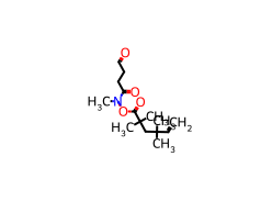 C=CC(C)(C)CC(C)(C)C(=O)ON(C)C(=O)CCC=O